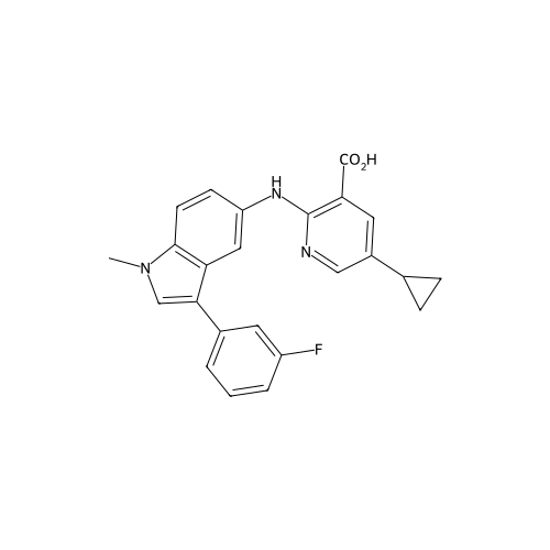 Cn1cc(-c2cccc(F)c2)c2cc(Nc3ncc(C4CC4)cc3C(=O)O)ccc21